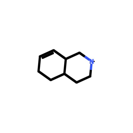 C1=CC2C[N]CCC2CC1